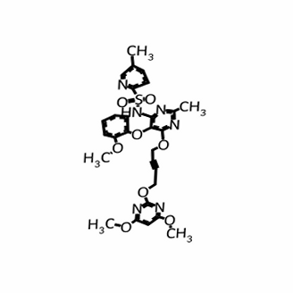 COc1cc(OC)nc(OCC#CCOc2nc(C)nc(NS(=O)(=O)c3ccc(C)cn3)c2Oc2ccccc2OC)n1